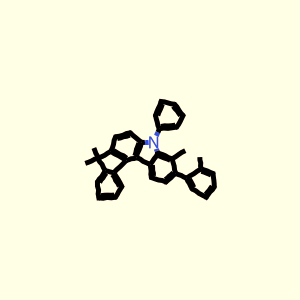 Cc1ccccc1-c1ccc2c3c4c(ccc3n(-c3ccccc3)c2c1C)C(C)(C)c1ccccc1-4